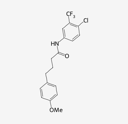 COc1ccc(CCCC(=O)Nc2ccc(Cl)c(C(F)(F)F)c2)cc1